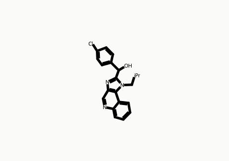 CC(C)Cn1c(C(O)c2ccc(Cl)cc2)nc2cnc3ccccc3c21